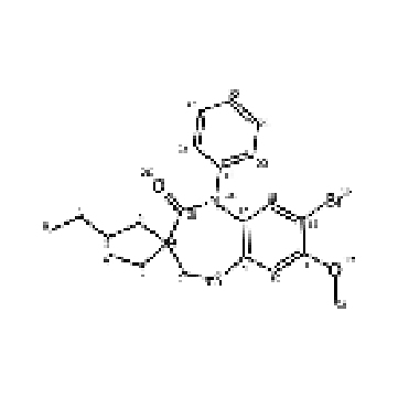 CCCCC1(CC)CSc2cc(OC)c(Br)cc2N(c2ccccc2)C1=O